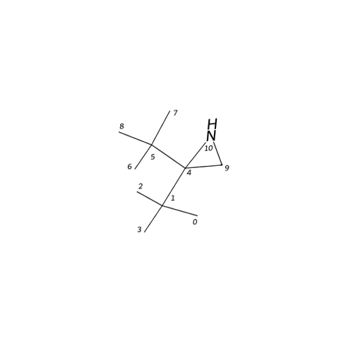 CC(C)(C)C1(C(C)(C)C)CN1